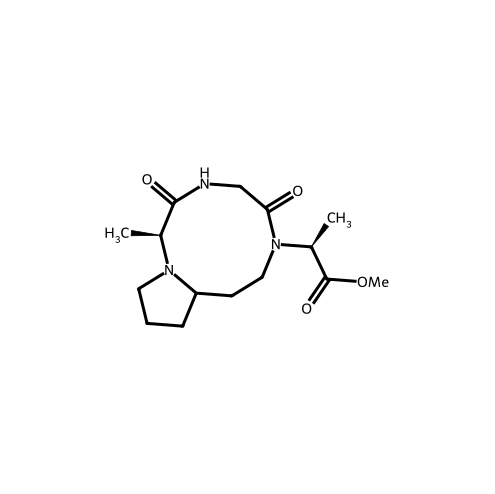 COC(=O)[C@H](C)N1CCC2CCCN2[C@@H](C)C(=O)NCC1=O